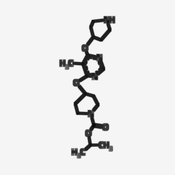 Cc1c(OC2CCNCC2)ncnc1OC1CCN(C(=O)OC(C)C)CC1